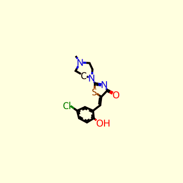 CN1CCN(C2=NC(=O)C(=Cc3cc(Cl)ccc3O)S2)CC1